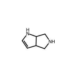 C1=CC2CNCC2N1